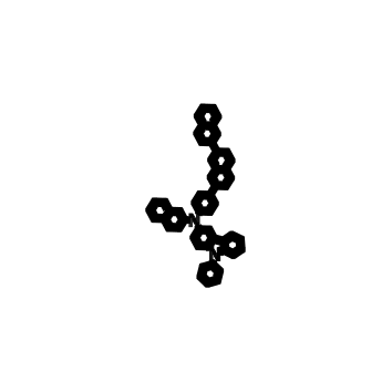 c1ccc(-n2c3ccccc3c3cc(N(c4ccc(-c5ccc6ccc(-c7ccc8ccccc8c7)cc6c5)cc4)c4ccc5ccccc5c4)ccc32)cc1